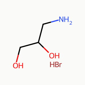 Br.NCC(O)CO